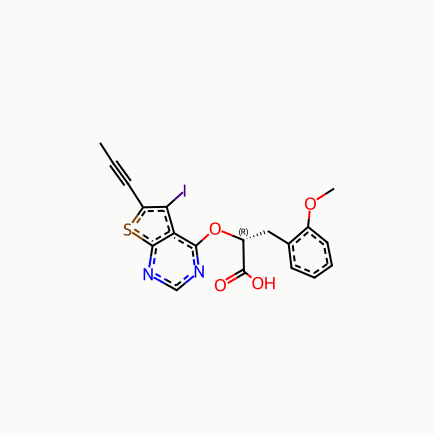 CC#Cc1sc2ncnc(O[C@H](Cc3ccccc3OC)C(=O)O)c2c1I